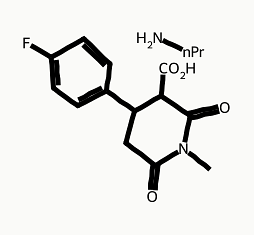 CCCN.CN1C(=O)CC(c2ccc(F)cc2)C(C(=O)O)C1=O